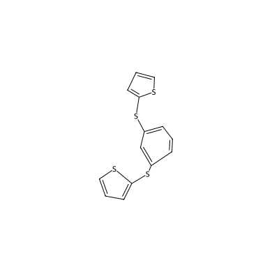 c1cc(Sc2cccs2)cc(Sc2cccs2)c1